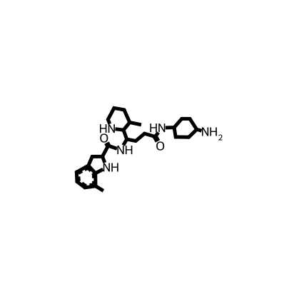 Cc1cccc2c1NC(C(=O)NC(CCC(=O)NC1CCC(N)CC1)C1NCCCC1C)C2